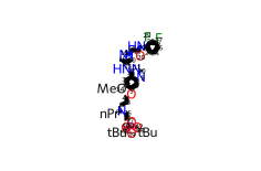 CCCN(CCCOc1cc2ncnc(Nc3cnn(CC(=O)Nc4cccc(F)c4F)c3)c2cc1OC)CCOP(=O)(OC(C)(C)C)OC(C)(C)C